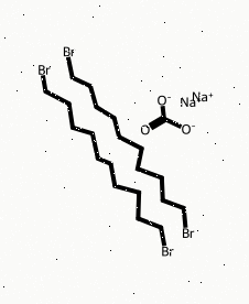 BrCCCCCCCCCCBr.BrCCCCCCCCCCBr.O=C([O-])[O-].[Na+].[Na+]